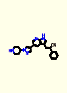 N#C/C(=C\c1c[nH]c2ncc(-c3cnn(C4CCNCC4)c3)cc12)c1ccccc1